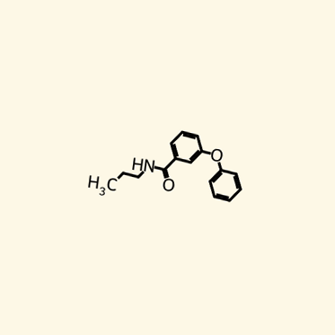 CCCNC(=O)c1cccc(Oc2ccccc2)c1